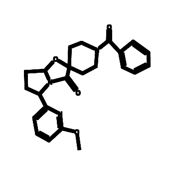 COc1cccc(C2CCC3OC4(CCN(C(=O)c5ccccc5)CC4)C(=O)N32)n1